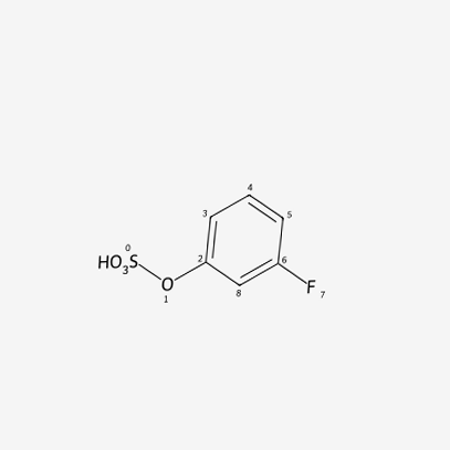 O=S(=O)(O)Oc1cccc(F)c1